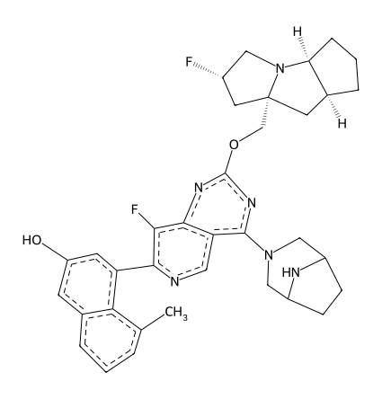 Cc1cccc2cc(O)cc(-c3ncc4c(N5CC6CCC(C5)N6)nc(OC[C@]56C[C@H](F)CN5[C@H]5CCC[C@H]5C6)nc4c3F)c12